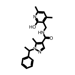 Cc1cc(C)c(CNC(=O)c2cnn(C(C)c3ccccc3)c2C)c(O)n1